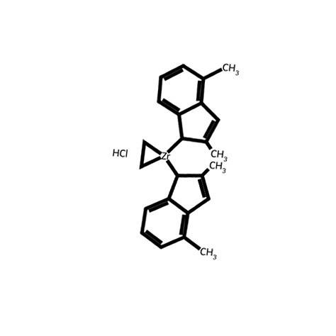 CC1=Cc2c(C)cccc2[CH]1[Zr]1([CH]2C(C)=Cc3c(C)cccc32)[CH2][CH2]1.Cl